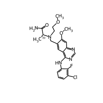 COCCN(Cc1cc2c(Nc3cccc(Cl)c3F)ncnc2cc1OC)[C@@H](C)C(N)=O